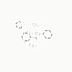 COc1ccccc1NC(=O)c1nc(-c2ccco2)cnc1N